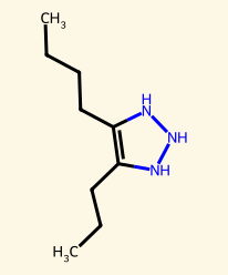 CCCCC1=C(CCC)NNN1